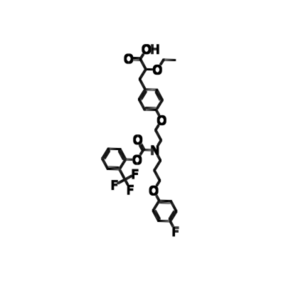 CCOC(Cc1ccc(OCCN(CCCOc2ccc(F)cc2)C(=O)Oc2ccccc2C(F)(F)F)cc1)C(=O)O